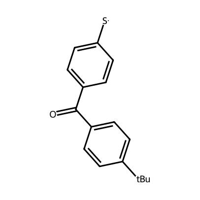 CC(C)(C)c1ccc(C(=O)c2ccc([S])cc2)cc1